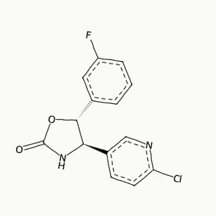 O=C1N[C@H](c2ccc(Cl)nc2)[C@@H](c2cccc(F)c2)O1